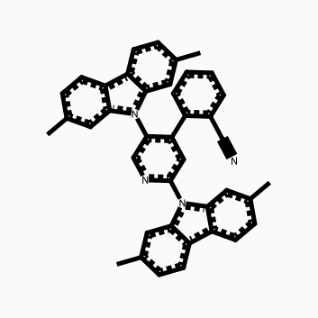 Cc1ccc2c3ccc(C)cc3n(-c3cc(-c4ccccc4C#N)c(-n4c5cc(C)ccc5c5ccc(C)cc54)cn3)c2c1